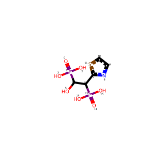 O=P(O)(O)C(O)C(c1nccs1)P(=O)(O)O